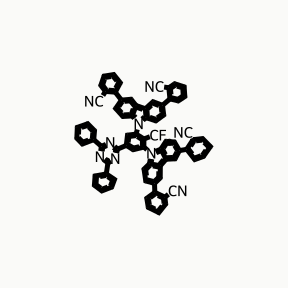 N#Cc1ccccc1-c1ccc2c(c1)c1cc(-c3ccccc3C#N)ccc1n2-c1cc(-c2nc(-c3ccccc3)nc(-c3ccccc3)n2)cc(-n2c3ccc(-c4ccccc4C#N)cc3c3cc(-c4ccccc4C#N)ccc32)c1C(F)(F)F